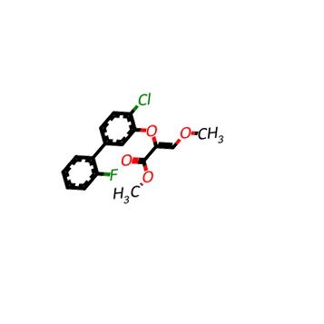 CO/C=C(\Oc1cc(-c2ccccc2F)ccc1Cl)C(=O)OC